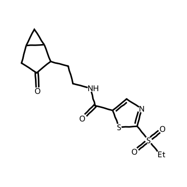 CCS(=O)(=O)c1ncc(C(=O)NCCC2C(=O)CC3CC32)s1